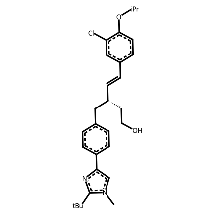 CC(C)Oc1ccc(C=C[C@H](CCO)Cc2ccc(-c3cn(C)c(C(C)(C)C)n3)cc2)cc1Cl